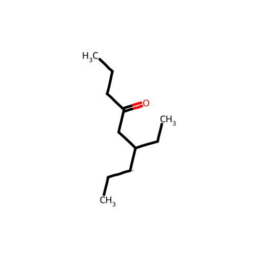 CC[CH]C(CC)CC(=O)CCC